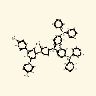 N#Cc1ccc(-c2cc(-c3ccc(-n4c5ccc(N(c6ccccc6)c6ccccc6)cc5c5cc(N(c6ccccc6)c6ccccc6)ccc54)cc3C#N)nc(-c3ccc(C#N)cc3)n2)cc1